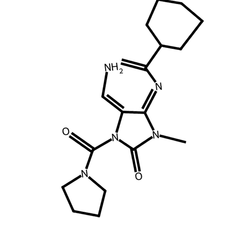 C=C(/N=C1\C(=C/N)N(C(=O)N2CCCC2)C(=O)N1C)C1CCCCC1